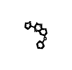 [c]1nc2ccc(Oc3ccccc3)cc2nc1-c1cccs1